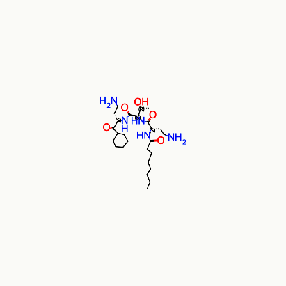 CCCCCCCC(=O)N[C@@H](CCN)C(=O)N[C@H](C(=O)N[C@@H](CCN)C(=O)C1CCCCC1)[C@@H](C)O